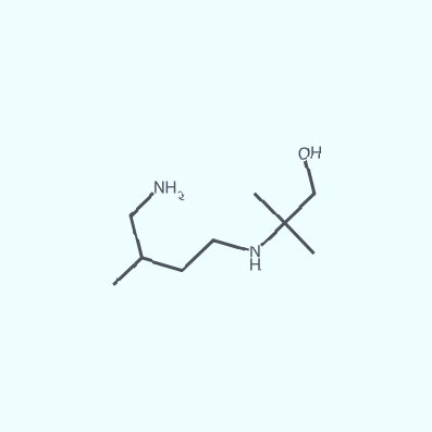 CC(CN)CCNC(C)(C)CO